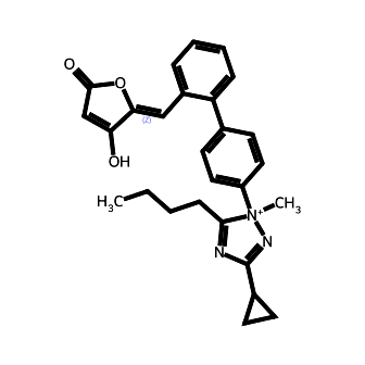 CCCCC1=NC(C2CC2)=N[N+]1(C)c1ccc(-c2ccccc2/C=C2\OC(=O)C=C2O)cc1